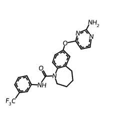 Nc1nccc(Oc2ccc3c(c2)CCCCN3C(=O)Nc2cccc(C(F)(F)F)c2)n1